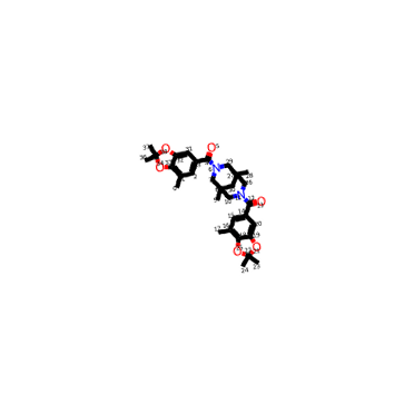 Cc1cc(C(=O)N2CC3(C)CN(C(=O)c4cc(C)c5c(c4)OC(C)(C)O5)CC(C)(C2)C3)cc2c1OC(C)(C)O2